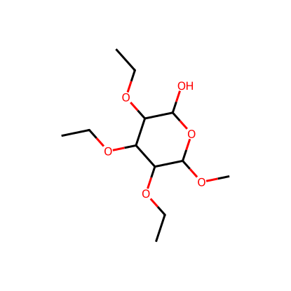 CCOC1C(O)OC(OC)C(OCC)C1OCC